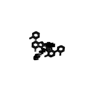 CCCCC1=Cc2c(-c3ccccc3C)ccc(C)c2[CH]1[Zr+2]1([CH]2C(CCCC)=Cc3c(-c4ccccc4C)ccc(C)c32)[CH2][CH2]1.[Cl-].[Cl-]